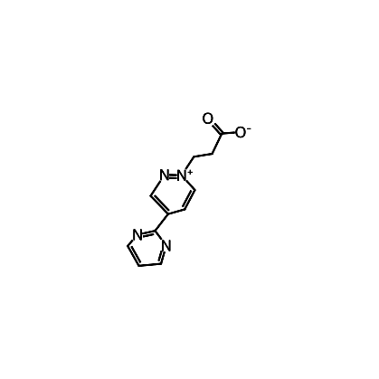 O=C([O-])CC[n+]1ccc(-c2ncccn2)cn1